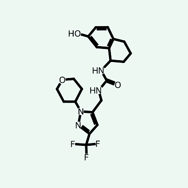 O=C(NCc1cc(C(F)(F)F)nn1C1CCOCC1)NC1CCCc2ccc(O)cc21